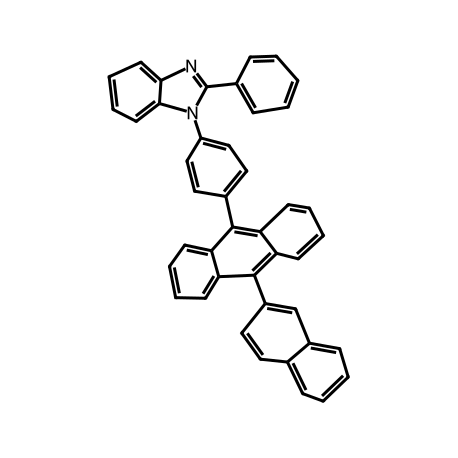 c1ccc(-c2nc3ccccc3n2-c2ccc(-c3c4ccccc4c(-c4ccc5ccccc5c4)c4ccccc34)cc2)cc1